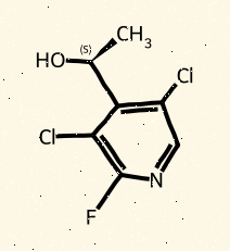 C[C@H](O)c1c(Cl)cnc(F)c1Cl